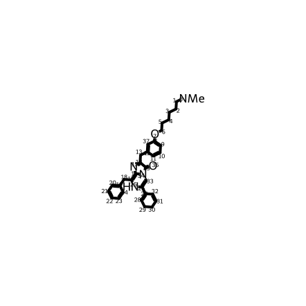 CNCCCCCCOc1cccc(Cc2nc3c(Cc4ccccc4)[nH]c(C4=CCCC=C4)cn-3c2=O)c1